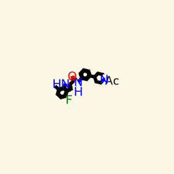 CC(=O)N1CCC(c2cccc(NC(=O)c3cc4c(F)ccc(C)c4[nH]3)c2)CC1